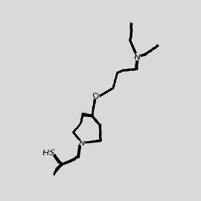 CCN(C)CCCOC1CCN(CC(C)S)CC1